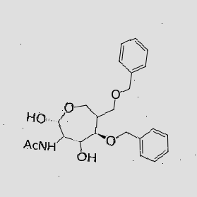 CC(=O)NC1C(O)[C@H](OCc2ccccc2)C(COCc2ccccc2)CO[C@H]1O